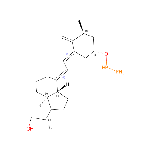 C=C1/C(=C/C=C2\CCC[C@]3(C)C([C@H](C)CO)CC[C@@H]23)C[C@@H](OPP)C[C@@H]1C